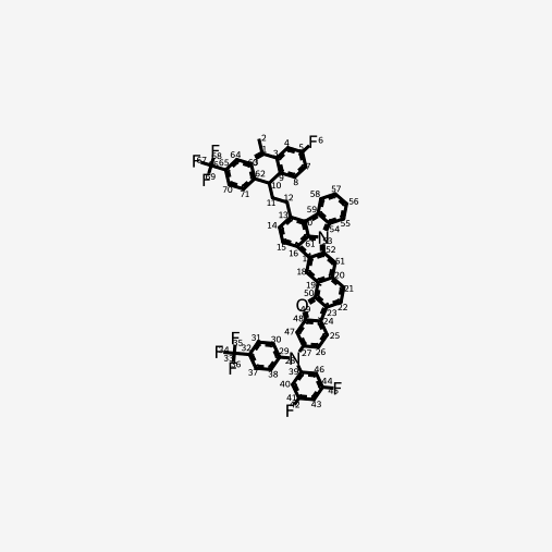 C=C(C)c1cc(F)ccc1C(CCc1ccc2c3cc4c(ccc5c6ccc(N(c7ccc(C(F)(F)F)cc7)c7cc(F)cc(F)c7)cc6oc45)cc3n3c4ccccc4c1c23)c1ccc(C(F)(F)F)cc1